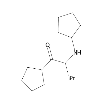 CC(C)C(NC1CCCC1)C(=O)C1CCCC1